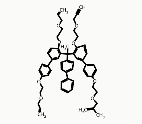 C#CCOCCOc1ccc(-c2ccc(OCCOCC(=C)C)cc2)cc1C(C)(c1ccc(-c2ccccc2)cc1)c1cc(-c2ccc(OCCOCC=C)cc2)ccc1OCCOCC=C